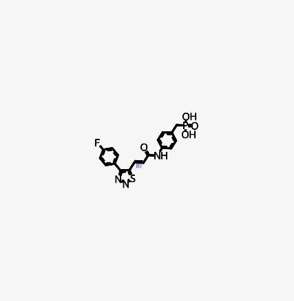 O=C(/C=C/c1snnc1-c1ccc(F)cc1)Nc1ccc(CP(=O)(O)O)cc1